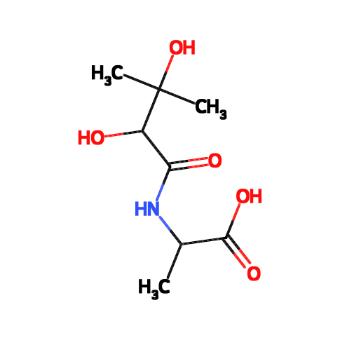 CC(NC(=O)C(O)C(C)(C)O)C(=O)O